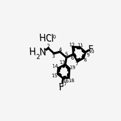 Cl.NCCCC(c1ccc(F)cc1)c1ccc(F)cc1